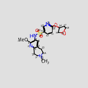 COc1nc2c(cc1NS(=O)(=O)c1ccc(OC3CCOC3)nc1)CCN(C)CC2